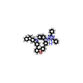 CC1(C)c2ccccc2-c2cc3c4cc(-c5cccc6oc7ccc(-c8ccc9c(c8)c8ccccc8n9C8N=C(c9ccccc9)N=C(c9ccccc9)N8)cc7c56)ccc4n(-c4ccccc4)c3cc21